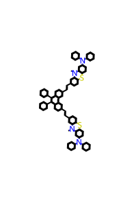 CN1c2cc(/C=C/c3ccc4c(-c5ccccc5)c(-c5ccccc5)c5ccc(/C=C/c6ccc7c(c6)N(C)c6cc(N(c8ccccc8)c8ccccc8)ccc6S7)cc5c4c3)ccc2Sc2ccc(N(c3ccccc3)c3ccccc3)cc21